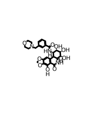 O=C(N[C@H]1[C@H](O)[C@@H](O)[C@@H](O)[C@@H]2NC(=O)c3c(cc4c(c3O)OCO4)[C@@H]12)c1cccc(CN2CCOCC2)c1